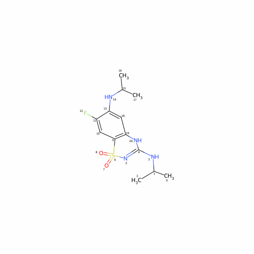 CC(C)NC1=NS(=O)(=O)c2cc(F)c(NC(C)C)cc2N1